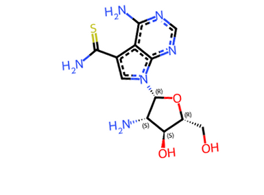 NC(=S)c1cn([C@@H]2O[C@H](CO)[C@@H](O)[C@@H]2N)c2ncnc(N)c12